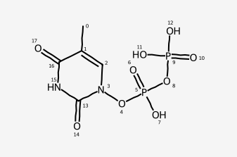 Cc1cn(OP(=O)(O)OP(=O)(O)O)c(=O)[nH]c1=O